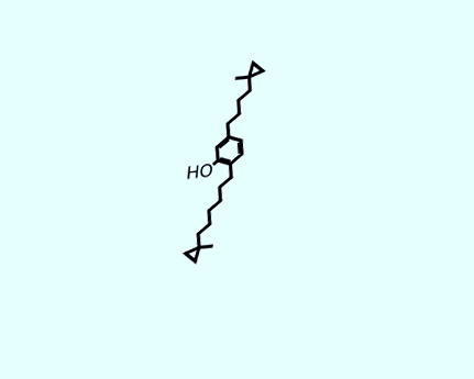 CC1(CCCCCCc2ccc(CCCCC3(C)CC3)cc2O)CC1